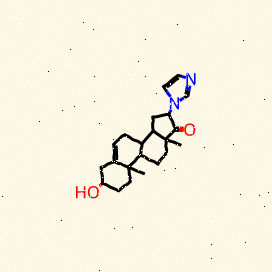 CC12CCC3C(CC=C4CC(O)CCC43C)C1CC(n1ccnc1)C2=O